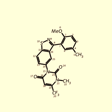 COc1ccc(C)cc1-c1nsc2ccc(-n3c(=O)cc(C(F)(F)F)n(C)c3=O)cc12